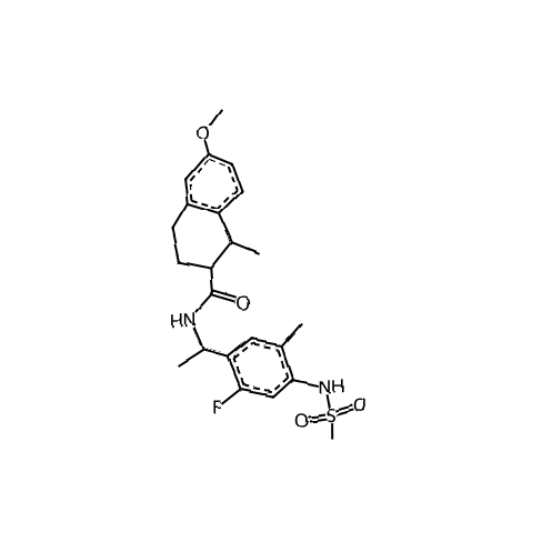 COc1ccc2c(c1)CCC(C(=O)NC(C)c1cc(C)c(NS(C)(=O)=O)cc1F)C2C